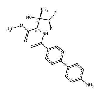 COC(=O)[C@@H](NC(=O)c1ccc(-c2ccc(N)cc2)cc1)[C@](C)(O)C(F)F